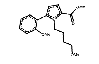 COCCCCn1c(C(=O)OC)ccc1-c1ccccc1OC